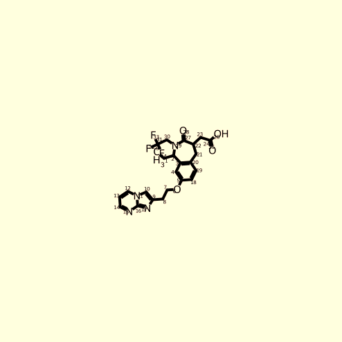 CCC1c2cc(OCCc3cn4cccnc4n3)ccc2CC(CC(=O)O)C(=O)N1CC(F)(F)F